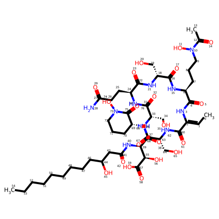 C/C=C(\NC(=O)[C@H](CCCN(O)C(C)=O)NC(=O)[C@@H](CO)NC(=O)[C@H](CCC(N)=O)NC(=O)[C@H](CO)NC(=O)[C@H](NC(=O)CC(O)CCCCCCCCC)[C@@H](O)C(=O)O)C(=O)N[C@H](CO)C(=O)N[C@@H]1CCCN(O)C1=O